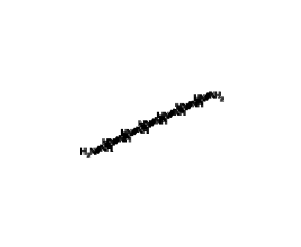 NCCNCCNCCNCCNCCNCCNCCNCCNCCNCCNCCNCCNCCN